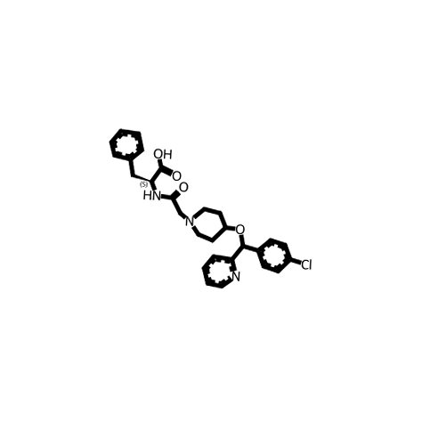 O=C(CN1CCC(OC(c2ccc(Cl)cc2)c2ccccn2)CC1)N[C@@H](Cc1ccccc1)C(=O)O